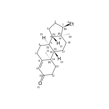 CC[C@@H]1CC[C@H]2[C@@H]3CCC4=CC(=O)CC[C@]4(C)[C@H]3CC[C@]12C